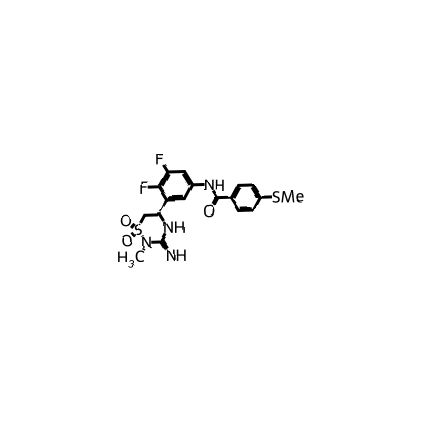 CSc1ccc(C(=O)Nc2cc(F)c(F)c([C@@H]3CS(=O)(=O)N(C)C(=N)N3)c2)cc1